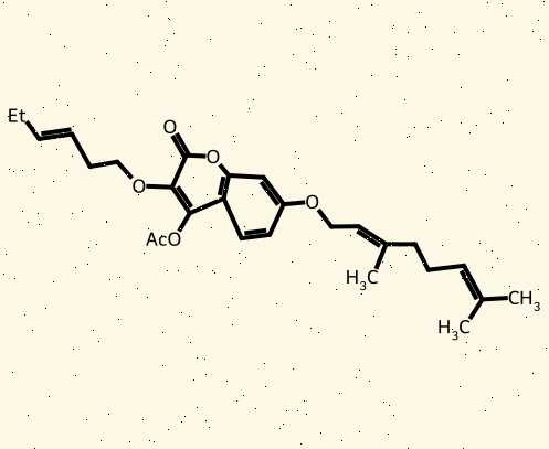 CCC=CCCOc1c(OC(C)=O)c2ccc(OC/C=C(\C)CCC=C(C)C)cc2oc1=O